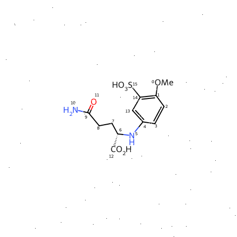 COc1ccc(N[C@@H](CCC(N)=O)C(=O)O)cc1S(=O)(=O)O